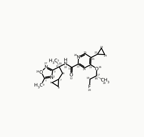 Cc1nc([C@](C)(CC2CC2)NC(=O)c2cc(O[C@H](C)CF)c(C3CC3)cn2)no1